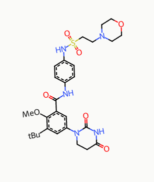 COc1c(C(=O)Nc2ccc(NS(=O)(=O)CCN3CCOCC3)cc2)cc(N2CCC(=O)NC2=O)cc1C(C)(C)C